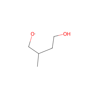 CC(C[O])CCO